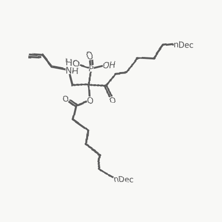 C=CCNCC(OC(=O)CCCCCCCCCCCCCCC)(C(=O)CCCCCCCCCCCCCCC)P(=O)(O)O